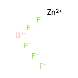 [B+3].[F-].[F-].[F-].[F-].[F-].[Zn+2]